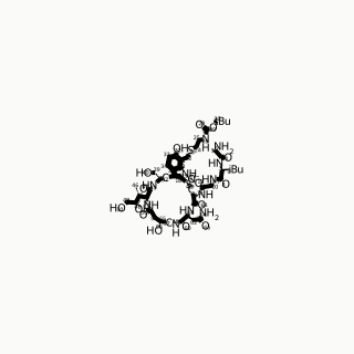 CC[C@H](C)[C@H](NC(=O)CN)C(=O)NCC(=O)N[C@H]1C[S+]([O-])c2[nH]c3c(CSCCNC(=O)OC(C)(C)C)c(O)ccc3c2C[C@@H](CO)NC(=O)[C@H]([C@@H](C)[C@@H](O)CO)NC(=O)C[C@@H](O)CNC(=O)[C@H](CC(N)=O)NC1=O